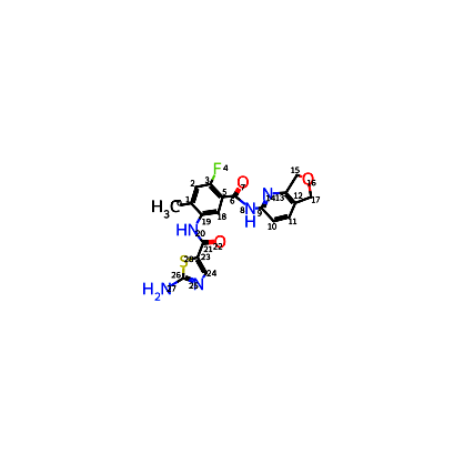 Cc1cc(F)c(C(=O)Nc2ccc3c(n2)COC3)cc1NC(=O)c1cnc(N)s1